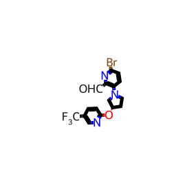 O=Cc1nc(Br)ccc1N1CC[C@H](Oc2ccc(C(F)(F)F)cn2)C1